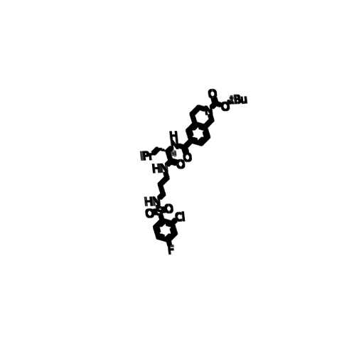 CC(C)C[C@H](NC(=O)c1ccc2c(c1)CCN(C(=O)OC(C)(C)C)C2)C(=O)NCCCNS(=O)(=O)c1ccc(F)cc1Cl